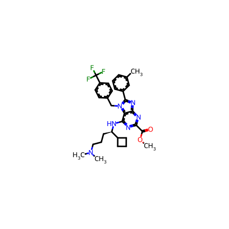 COC(=O)c1nc(N[C@H](CCCN(C)C)C2CCC2)c2c(n1)nc(-c1cccc(C)c1)n2Cc1ccc(C(F)(F)F)cc1